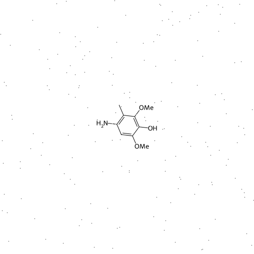 COc1cc(N)c(C)c(OC)c1O